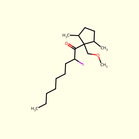 CCCCCCCC(I)C(=O)C1(COC)C(C)CCC1C